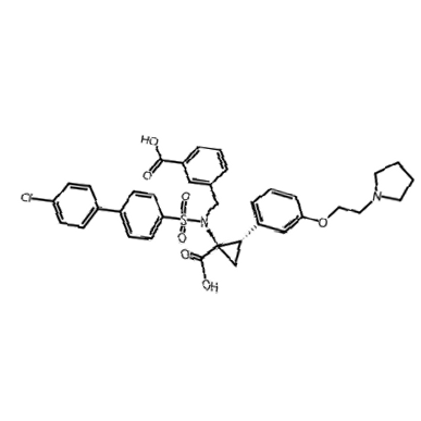 O=C(O)c1cccc(CN([C@]2(C(=O)O)C[C@H]2c2cccc(OCCN3CCCC3)c2)S(=O)(=O)c2ccc(-c3ccc(Cl)cc3)cc2)c1